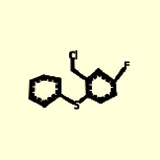 Fc1ccc(Sc2ccccc2)c(CCl)c1